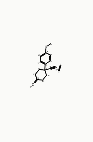 C=C.COc1ccc(C2(C#N)CCC(=O)CC2)cc1